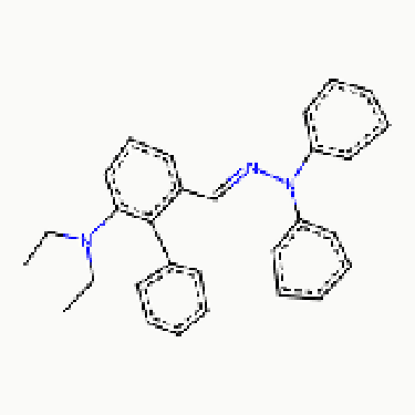 CCN(CC)c1cccc(C=NN(c2ccccc2)c2ccccc2)c1-c1ccccc1